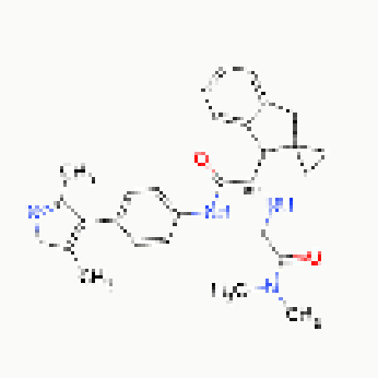 CC1=NCC(C)=C1c1ccc(NC(=O)[C@@H](NCC(=O)N(C)C)C2c3ccccc3CC23CC3)cc1